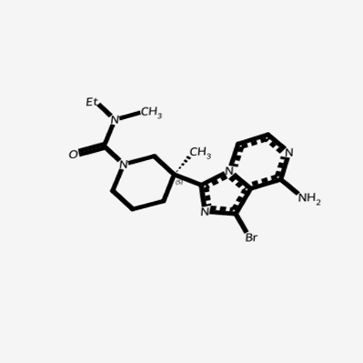 CCN(C)C(=O)N1CCC[C@](C)(c2nc(Br)c3c(N)nccn23)C1